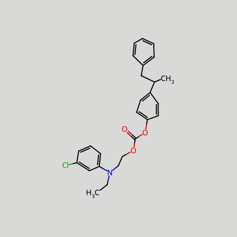 CCN(CCOC(=O)Oc1ccc(C(C)Cc2ccccc2)cc1)c1cccc(Cl)c1